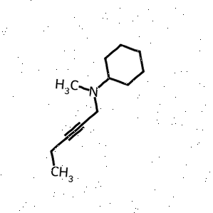 CCC#CCN(C)C1CCCCC1